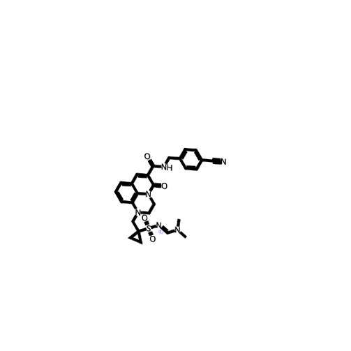 CN(C)/C=N/S(=O)(=O)C1(CN2CCn3c(=O)c(C(=O)NCc4ccc(C#N)cc4)cc4cccc2c43)CC1